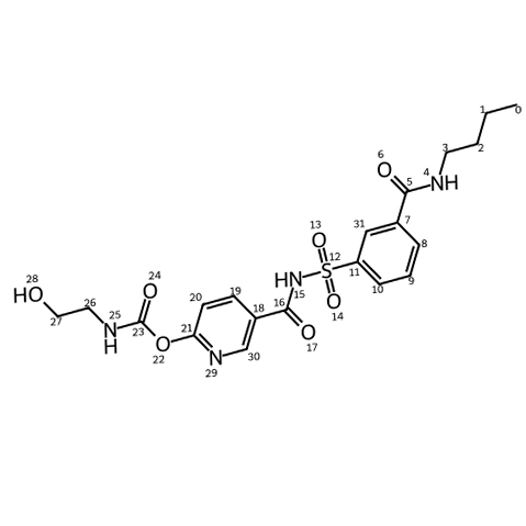 CCCCNC(=O)c1cccc(S(=O)(=O)NC(=O)c2ccc(OC(=O)NCCO)nc2)c1